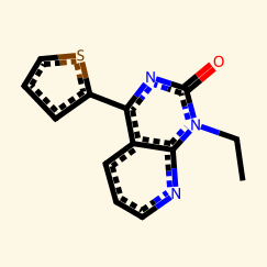 CCn1c(=O)nc(-c2cccs2)c2cccnc21